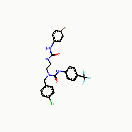 O=C(NCCN(Cc1ccc(Cl)cc1)C(=O)Nc1ccc(C(F)(F)F)cc1)Nc1ccc(Br)cc1